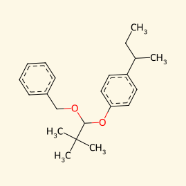 CCC(C)c1ccc(OC(OCc2ccccc2)C(C)(C)C)cc1